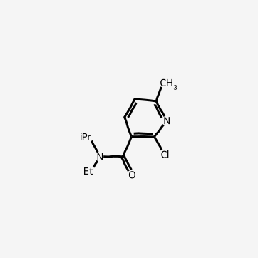 CCN(C(=O)c1ccc(C)nc1Cl)C(C)C